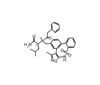 Cc1noc(NS(=O)(=O)c2ccccc2-c2ccc(C[N+](C)(C(=O)Cc3ccccc3)[C@@H](CC(C)C)C(N)=O)cc2)c1C